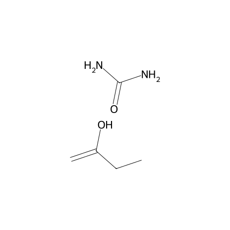 C=C(O)CC.NC(N)=O